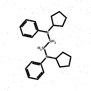 c1ccc(N([SiH2][SiH2]N(c2ccccc2)C2CCCC2)C2CCCC2)cc1